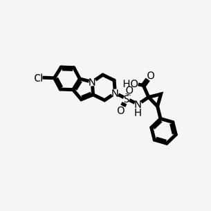 O=C(O)C1(NS(=O)(=O)N2CCn3c(cc4cc(Cl)ccc43)C2)CC1c1ccccc1